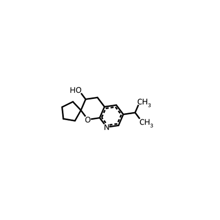 CC(C)c1cnc2c(c1)CC(O)C1(CCCC1)O2